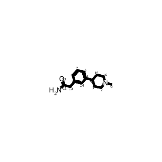 CN1CCC(c2cccc(CC(N)=O)c2)CC1